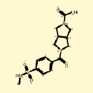 CNS(=O)(=O)c1ccc(C(=O)N2CC3CN(C(=O)O)CC3C2)cc1